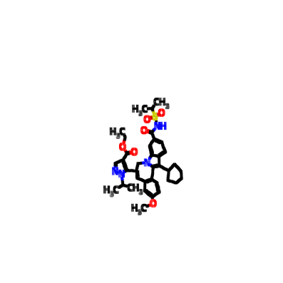 CCOC(=O)c1cnn(C(C)C)c1C1=Cc2cc(OC)ccc2-c2c(C3CCCCC3)c3ccc(C(=O)NS(=O)(=O)C(C)C)cc3n2C1